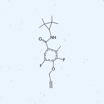 C#CCOc1c(F)cc(C(=O)NC2C(C)(C)C2(C)C)c(C)c1F